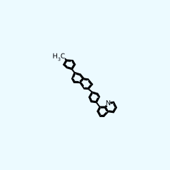 Cc1ccc(-c2ccc3cc(-c4ccc(-c5cccc6cccnc56)cc4)ccc3c2)cc1